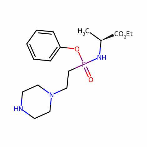 CCOC(=O)[C@H](C)NP(=O)(CCN1CCNCC1)Oc1ccccc1